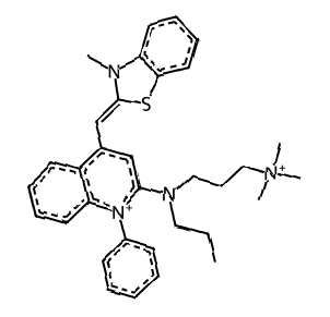 CCCN(CCC[N+](C)(C)C)c1cc(/C=C2\Sc3ccccc3N2C)c2ccccc2[n+]1-c1ccccc1